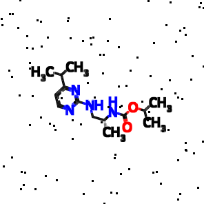 CC(C)OC(=O)N[C@H](C)CNc1nccc(C(C)C)n1